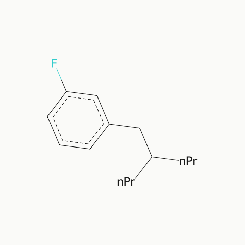 CCCC(CCC)Cc1cccc(F)c1